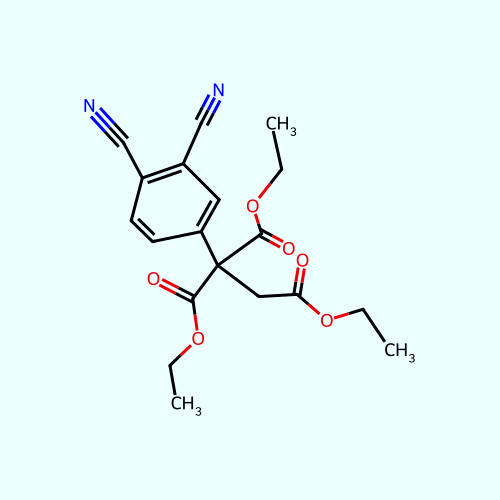 CCOC(=O)CC(C(=O)OCC)(C(=O)OCC)c1ccc(C#N)c(C#N)c1